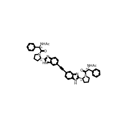 CC(=O)N[C@@H](C(=O)N1CCC[C@H]1c1nc2cc(C#Cc3ccc4nc([C@@H]5CCCN5C(=O)[C@H](NC(C)=O)c5ccccc5)[nH]c4c3)ccc2[nH]1)c1ccccc1